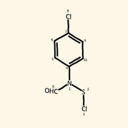 O=CN(SCl)c1ccc(Cl)cc1